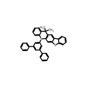 CC1(C)c2ccccc2N(c2cc(-c3ccccc3)cc(-c3ccccc3)c2)c2cc3sc4ccccc4c3cc21